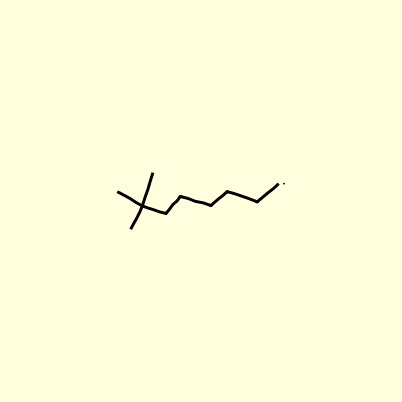 [CH2]CCCCCC(C)(C)C